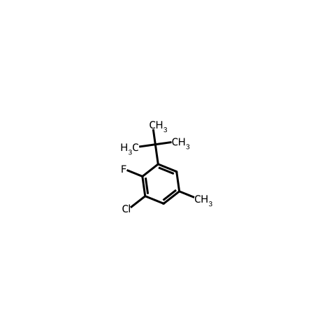 Cc1cc(Cl)c(F)c(C(C)(C)C)c1